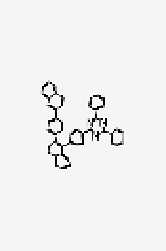 c1ccc(-c2nc(-c3ccccc3)nc(-c3ccc(-c4c(-c5ccc(-c6ccc7ccccc7c6)cc5)ccc5ccccc45)cc3)n2)cc1